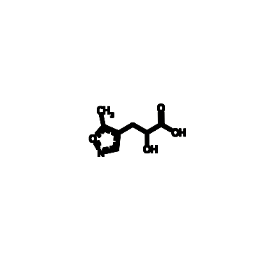 Cc1oncc1CC(O)C(=O)O